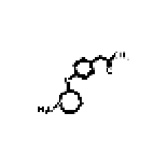 CC(=O)Cc1ccc(OC2CCCCN(C)C2)cc1